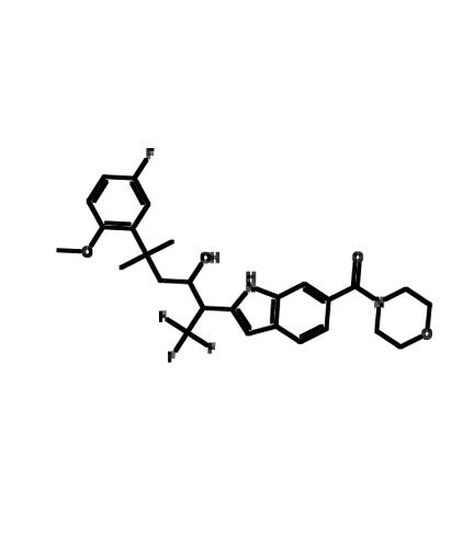 COc1ccc(F)cc1C(C)(C)CC(O)C(c1cc2ccc(C(=O)N3CCOCC3)cc2[nH]1)C(F)(F)F